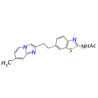 CC(=O)Nc1nc2ccc(CCc3cn4ccc(C)cc4n3)cc2s1